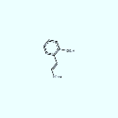 CCCCCC=Cc1ccccc1C(=O)O